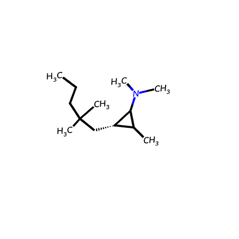 CCCC(C)(C)C[C@H]1C(C)C1N(C)C